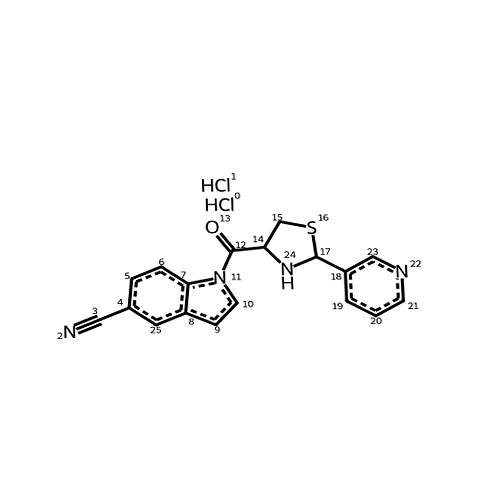 Cl.Cl.N#Cc1ccc2c(ccn2C(=O)C2CSC(c3cccnc3)N2)c1